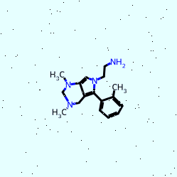 Cc1ccccc1-c1c2c(cn1CCN)N(C)CN(C)C2